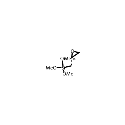 CO[Si](C[C@H]1CO1)(OC)OC